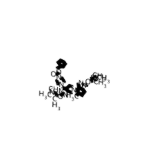 Cc1ccc2c(cnn2COCC[Si](C)(C)C)c1N1CCc2c(nc(OC(C)CN(C)C)nc2N2CCN(C(=O)OCc3ccccc3)CC2)C1